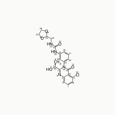 C[C@H](O)c1nc2cccc(Cl)c2c(=O)n1-c1cccc(NC(=O)NCC2OCCO2)c1